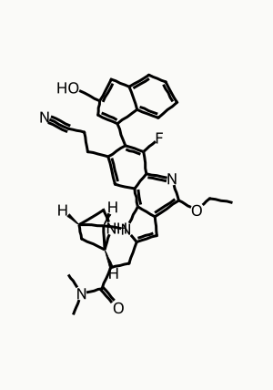 CCOc1nc2c(F)c(-c3cc(O)cc4ccccc34)c(CCC#N)cc2c2c1cc(CCC(=O)N(C)C)n2[C@H]1[C@H]2CN[C@@H]1C2